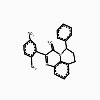 C=C1C(c2cc([N+](=O)[O-])ccc2N)=Nc2cccc3c2N1C(c1ccccc1)CC3